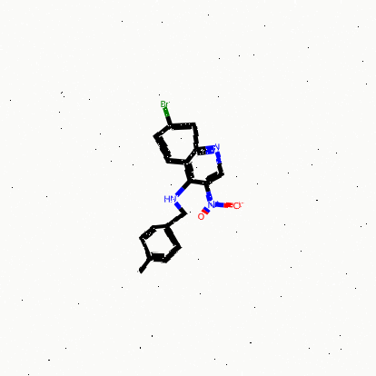 [CH2]c1ccc(CNc2c([N+](=O)[O-])cnc3cc(Br)ccc23)cc1